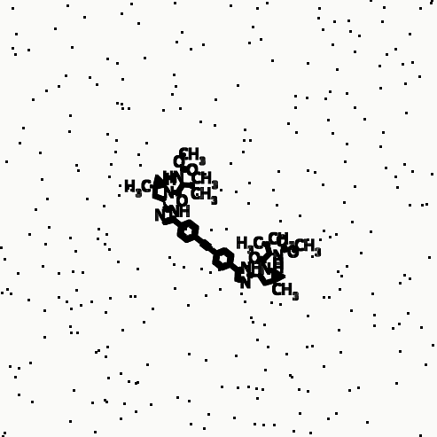 COC(=O)N[C@H](C(=O)N1[C@H]2C[C@@]2(C)C[C@H]1c1ncc(-c2ccc(C#Cc3ccc(-c4cnc([C@@H]5C[C@]6(C)C[C@@H]6N5C(=O)[C@@H](NC(=O)OC)C(C)C)[nH]4)cc3)cc2)[nH]1)C(C)C